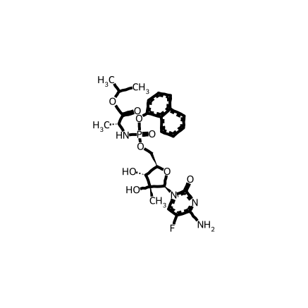 CC(C)OC(=O)[C@@H](C)NP(=O)(OC[C@H]1O[C@@H](n2cc(F)c(N)nc2=O)[C@](C)(O)[C@@H]1O)Oc1cccc2ccccc12